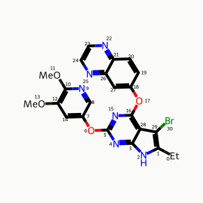 CCc1[nH]c2nc(Oc3cnc(OC)c(OC)c3)nc(Oc3ccc4nccnc4c3)c2c1Br